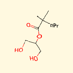 CCCC(C)(C)C(=O)OC(CO)CO